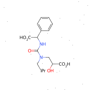 CC(C)CN(CC(O)C(=O)O)C(=O)NC(C(=O)O)c1ccccc1